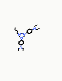 CCCCN1CN(c2ccc(N(CC)CC)cc2)CN(c2ccc(N(CC)CC)cc2)C1